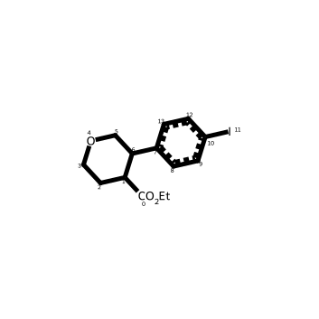 CCOC(=O)C1CCOCC1c1ccc(I)cc1